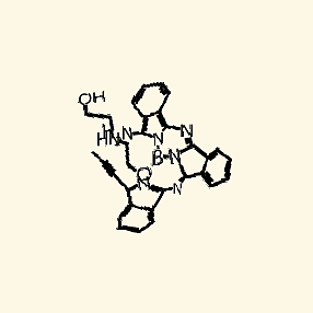 CC#CC1N=C(/N=C2/c3ccccc3C3=Nc4c5ccccc5c(N)n4B(OCCNCCO)N32)c2ccccc21